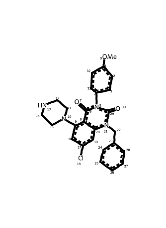 COc1ccc(-n2c(=O)c3c(N4CCNCC4)cc(Cl)cc3n(Cc3ccccc3)c2=O)cc1